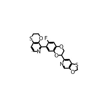 Fc1cc2c(cc1-c1n[c]cc3c1OCCS3)OC(c1cc3c(cn1)OCS3)CO2